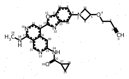 C#CCCOC1CN(c2ccc3oc(-c4cnc(NC)c5cnc(NC(=O)C6CC6)cc45)nc3c2)C1